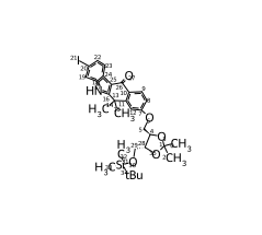 CC1(C)O[C@H](COc2ccc3c(c2)C(C)(C)c2[nH]c4cc(I)ccc4c2C3=O)[C@@H](CO[Si](C)(C)C(C)(C)C)O1